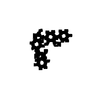 Cc1c(-n2c(C)nc3ccc(-c4nc5ccccc5n4C)cc32)ccc(-c2ccccc2)c1C#N